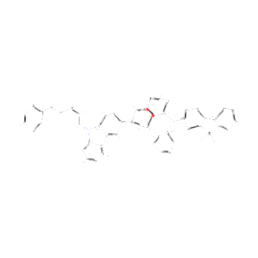 CC1(C)c2ccccc2-c2ccc(N(c3ccccc3)c3ccccc3-c3cccc(-c4ccc5c(c4)c4ccccc4n5C/C=C\CCc4ccccc4)c3)cc21